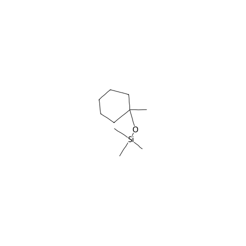 CC1(O[Si](C)(C)C)CCCCC1